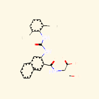 Cc1cccc(C)c1NC(=O)Nc1cc2ccccc2cc1C(=O)N[C@@H](CO)C(=O)O